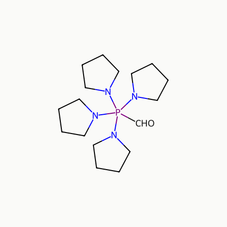 O=CP(N1CCCC1)(N1CCCC1)(N1CCCC1)N1CCCC1